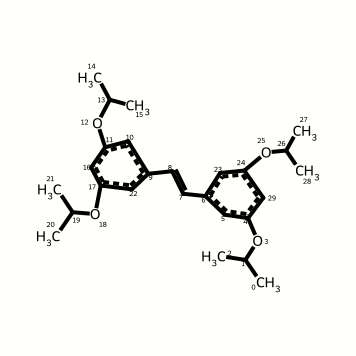 CC(C)Oc1cc(C=Cc2cc(OC(C)C)cc(OC(C)C)c2)cc(OC(C)C)c1